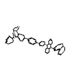 C1=CCC(N2C3=CC=C(c4ccc(-c5ccc(-c6c7ccccc7c(-c7ccc8c(c7)CCC=C8)c7ccccc67)cc5)cc4)CC3c3cnccc32)C=C1